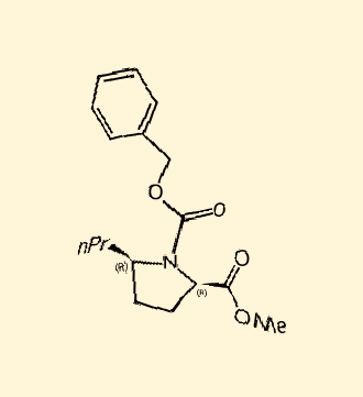 CCC[C@@H]1CC[C@H](C(=O)OC)N1C(=O)OCc1ccccc1